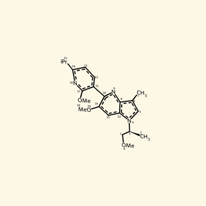 COC[C@H](C)n1cc(C)c2nc(-c3ccc(C(C)C)nc3OC)c(OC)cc21